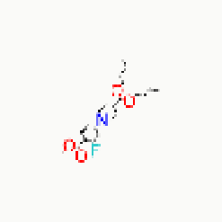 CCCCOC(OCCCC)C1CCN(c2ccc(C(=O)OC)c(F)c2)CC1